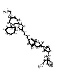 CCOC1CNC(N2CCC(CCCOc3cc(F)c(CC(=O)N4CC[C@@H](CNC(CO)(CO)CO)C4)c(F)c3)CC2)N(C2CCCCCCC2)C1